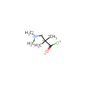 CN(C)CC(C)(C)C(=O)Cl